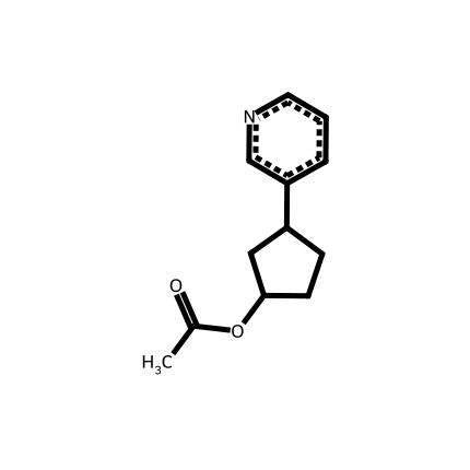 CC(=O)OC1CCC(c2cccnc2)C1